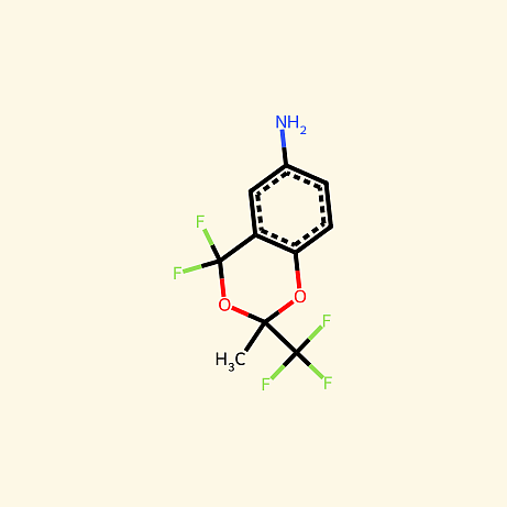 CC1(C(F)(F)F)Oc2ccc(N)cc2C(F)(F)O1